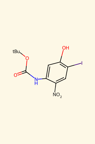 CC(C)(C)OC(=O)Nc1cc(O)c(I)cc1[N+](=O)[O-]